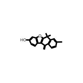 C=C1c2ccc(C)cc2C(C)(C)c2oc3cc(O)ccc3c21